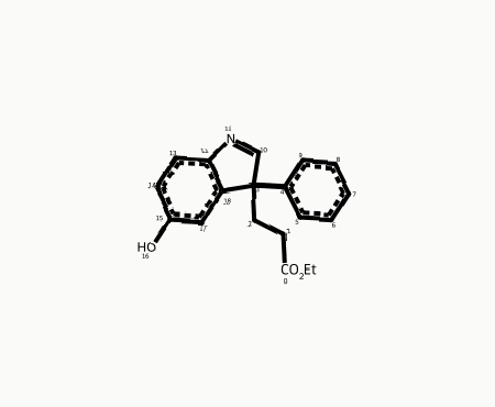 CCOC(=O)CCC1(c2ccccc2)C=Nc2ccc(O)cc21